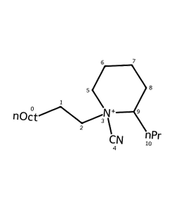 CCCCCCCCCC[N+]1(C#N)CCCCC1CCC